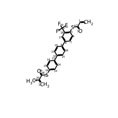 C=CC(=O)Sc1ccc(-c2ccc(-c3ccc(SC(=O)C(=C)C)cc3)cc2)cc1C(F)(F)F